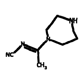 C/C(=N\C#N)N1CCNCC1